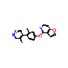 Cc1cc(Oc2nccc3occc23)ccc1-c1cnncc1C